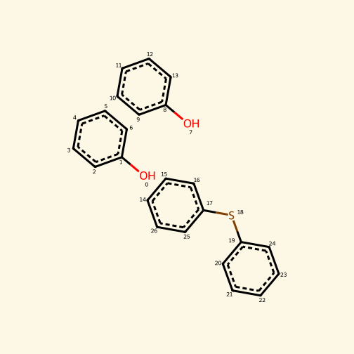 Oc1ccccc1.Oc1ccccc1.c1ccc(Sc2ccccc2)cc1